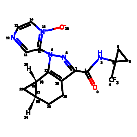 O=C(NC1(C(F)(F)F)CC1)c1nn(-c2cncc[n+]2[O-])c2c1CC[C@H]1C[C@@H]21